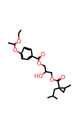 CCOC(C)Oc1ccc(C(=O)OCC(O)COC(=O)C2(CC(C)C)CC2C)cc1